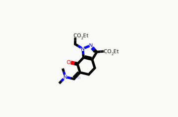 CCOC(=O)Cn1nc(C(=O)OCC)c2c1C(=O)/C(=C\N(C)C)CC2